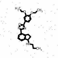 CCCNC1CCc2c(-c3noc(-c4ccc(OCC)c(OCC)c4)n3)cccc21